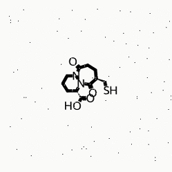 O=C(O)[C@@H]1CCCN2C(=O)CC[C@@H](CS)C(=O)N12